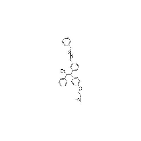 CC/C(=C(/c1ccc(OCCN(C)C)cc1)c1cccc(/C=N/OCc2ccccc2)c1)c1ccccc1